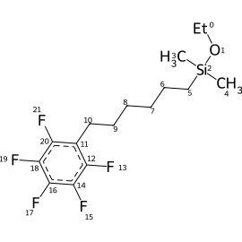 CCO[Si](C)(C)CCCCCCc1c(F)c(F)c(F)c(F)c1F